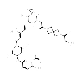 CCC(=O)N1CC2(C1)CN(C(=O)C[C@@H]1C[C@@]3(CO3)[C@H](O)[C@@H](/C=C/C(C)=C/C[C@@H]3O[C@H](C)[C@H](NC(=O)/C=C\C(C)OC(C)=O)C[C@@H]3C)O1)C2